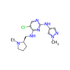 CCN1CCC[C@@H]1CNc1nc(Nc2cnn(C)c2)ncc1Cl